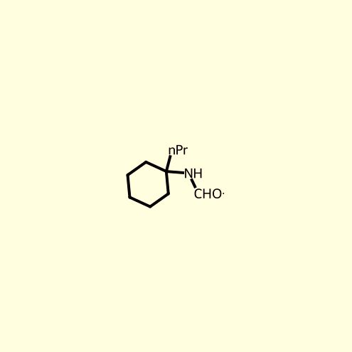 CCCC1(N[C]=O)CCCCC1